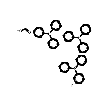 O=CO.[Ru].c1ccc(P(c2ccccc2)c2ccccc2)cc1.c1ccc(P(c2ccccc2)c2ccccc2)cc1.c1ccc(P(c2ccccc2)c2ccccc2)cc1